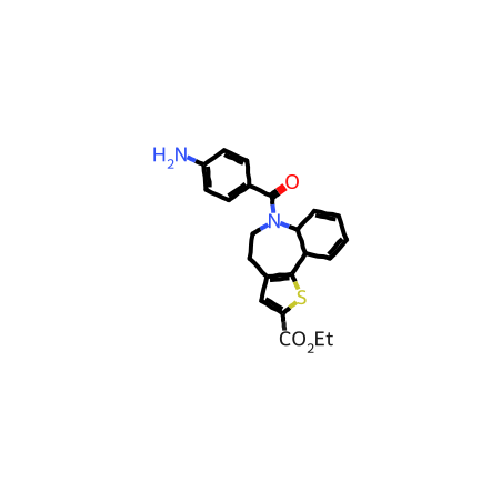 CCOC(=O)c1cc2c(s1)C1C=CC=CC1N(C(=O)c1ccc(N)cc1)CC2